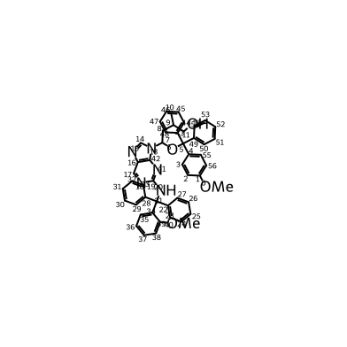 COc1ccc(C(OC(CC(C)CO)n2cnc3cnc(NC(c4ccccc4)(c4ccccc4)c4ccccc4OC)nc32)(c2ccccc2)c2ccccc2)cc1